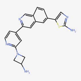 Nc1ncc(-c2ccc3cnc(-c4ccnc(N5CC(N)C5)c4)cc3c2)s1